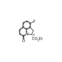 CCOC(=O)[C@H]1Cc2c(F)ccc3ccc(=O)n1c23